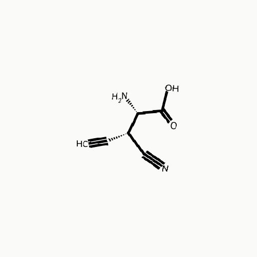 C#C[C@@H](C#N)[C@H](N)C(=O)O